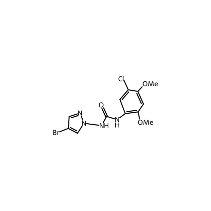 COc1cc(OC)c(NC(=O)Nn2cc(Br)cn2)cc1Cl